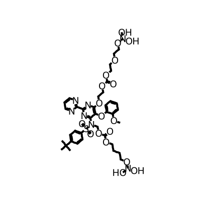 COc1ccccc1Oc1c(OCCOC(=O)OCCOCCON(O)O)nc(-c2ncccn2)nc1N(COC(=O)OCCCCON(O)O)S(=O)(=O)c1ccc(C(C)(C)C)cc1